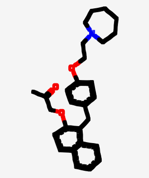 CC(=O)COc1ccc2ccccc2c1Cc1ccc(OCCN2CCCCCC2)cc1